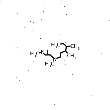 CCC(C)C(C)CCN(C)CCNC